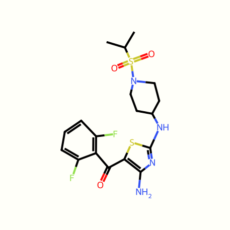 CC(C)S(=O)(=O)N1CCC(Nc2nc(N)c(C(=O)c3c(F)cccc3F)s2)CC1